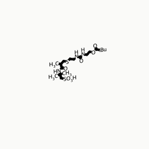 CCC(C)C(=O)OCCNC(=O)NCCSCC(C)C(=O)NC(C)(C)CS(=O)(=O)O